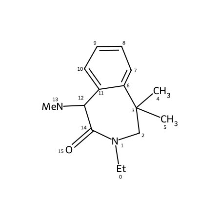 CCN1CC(C)(C)c2ccccc2C(NC)C1=O